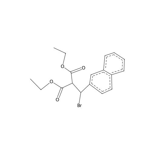 CCOC(=O)C(C(=O)OCC)C(Br)c1ccc2ccccc2c1